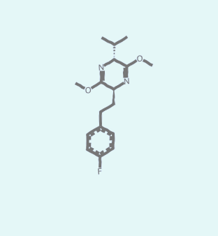 COC1=N[C@H](C(C)C)C(OC)=N[C@H]1CCc1ccc(F)cc1